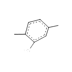 Cc1[c]c(N=O)c(C)cc1